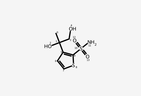 CC(O)(CO)c1ccsc1S(N)(=O)=O